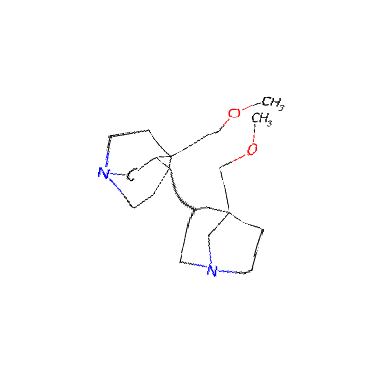 COCC12CCN(CC1)CC2C1CN2CCC1(COC)C2